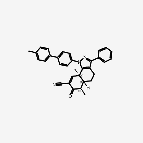 Cc1ccc(-c2ccc(-n3nc(-c4ccccc4)c4c3[C@]3(C)C=C(C#N)C(=O)[C@H](C)[C@H]3CC4)cc2)cc1